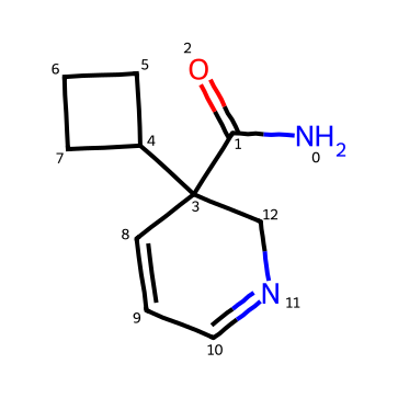 NC(=O)C1(C2CCC2)C=CC=NC1